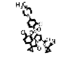 CN1CCN(c2ccc(S(=O)(=O)[C@@H]3C[C@@H](C(=O)NC4(C#N)CC4)N(C(=O)C4(c5ccc(Cl)cc5)CC4)C3)c(Cl)c2)CC1